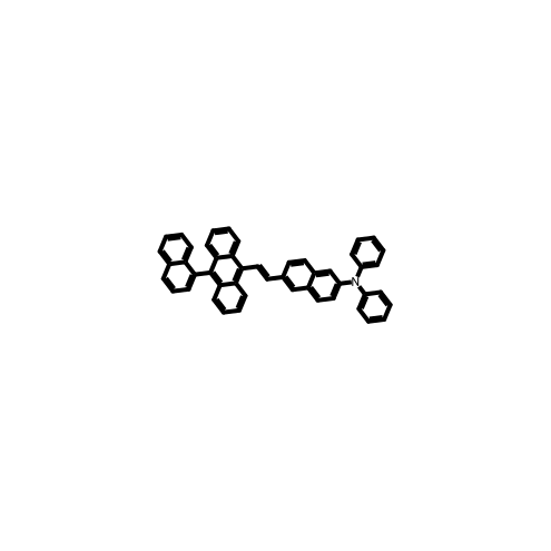 C(=C\c1c2ccccc2c(-c2cccc3ccccc23)c2ccccc12)/c1ccc2cc(N(c3ccccc3)c3ccccc3)ccc2c1